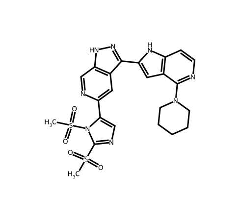 CS(=O)(=O)c1ncc(-c2cc3c(-c4cc5c(N6CCCCC6)nccc5[nH]4)n[nH]c3cn2)n1S(C)(=O)=O